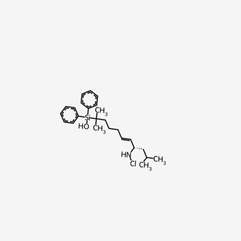 CC(C)C[C@@H](/C=C/CCCC(C)(C)[Si](O)(c1ccccc1)c1ccccc1)NCl